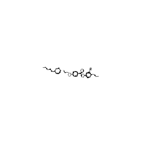 CCCCC[C@H]1CC[C@H](CCCOc2ccc(C(=O)Oc3ccc(CCC)c(F)c3)cc2)CC1